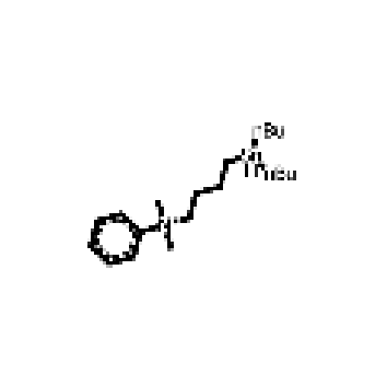 CCC[CH2][SnH]([CH2]CCC)[CH2]CCC[N+](C)(C)c1ccccc1